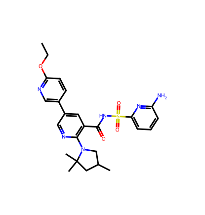 CCOc1ccc(-c2cnc(N3CC(C)CC3(C)C)c(C(=O)NS(=O)(=O)c3cccc(N)n3)c2)cn1